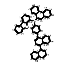 c1ccc2c(-c3ccc(-c4ccc(N(c5cc6ccccc6c6ccccc56)c5cccc6c5oc5ccccc56)cc4)c4ccccc34)cccc2c1